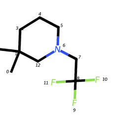 CC1(C)[CH]CCN(CC(F)(F)F)C1